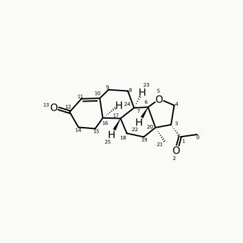 CC(=O)[C@H]1CO[C@H]2[C@@H]3CCC4=CC(=O)CC[C@@H]4[C@H]3CC[C@]12C